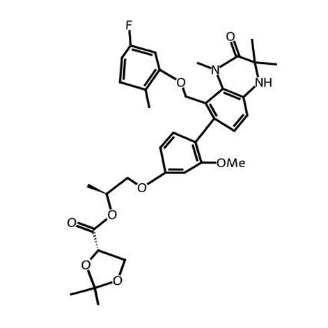 COc1cc(OC[C@H](C)OC(=O)[C@@H]2COC(C)(C)O2)ccc1-c1ccc2c(c1COc1cc(F)ccc1C)N(C)C(=O)C(C)(C)N2